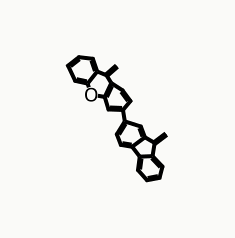 C=C1c2ccccc2Oc2cc(-c3ccc4c(c3)C(=C)c3ccccc3-4)ccc21